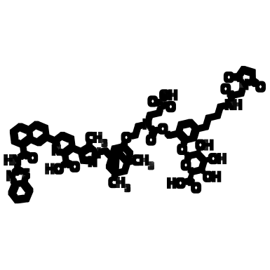 Cc1c(-c2ccc(-c3ccc4cccc(C(=O)Nc5nc6ccccc6s5)c4c3)nc2C(=O)O)cnn1CC12CC3(C)CC(C)(C1)CC(OCCN(CCS(=O)(=O)O)C(=O)OCc1ccc(CCCCNC(=O)CN4C(=O)C=CC4=O)cc1O[C@@H]1O[C@H](C(=O)O)[C@@H](O)[C@H](O)[C@H]1O)(C3)C2